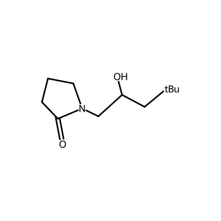 CC(C)(C)CC(O)CN1CCCC1=O